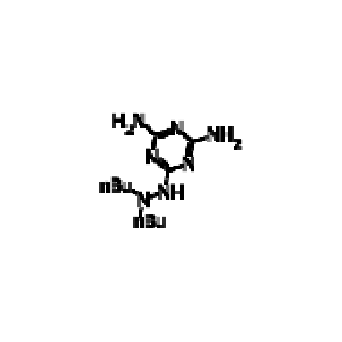 CCCCN(CCCC)Nc1nc(N)nc(N)n1